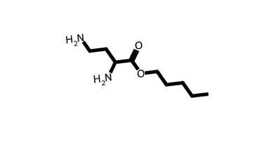 CCCCCOC(=O)C(N)CCN